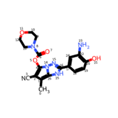 Cc1c(C#N)c(OC(=O)N2CCOCC2)n2nc(-c3ccc(O)c(N)c3)[nH]c12